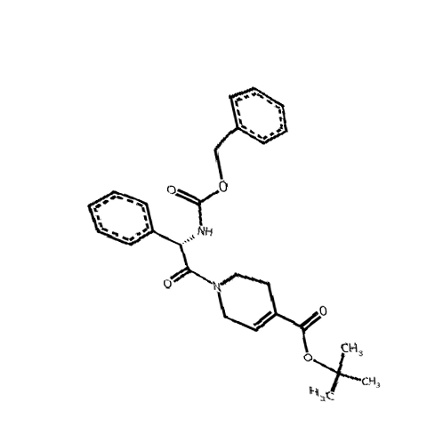 CC(C)(C)OC(=O)C1=CCN(C(=O)[C@@H](NC(=O)OCc2ccccc2)c2ccccc2)CC1